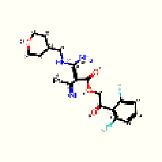 CCC(=N)/C(C(=O)OCC(=O)c1c(F)cccc1F)=C(/N)NCC1CCOCC1